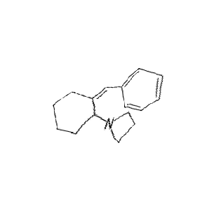 C(=C1\CCCCC1N1CCC1)/c1ccccc1